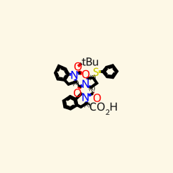 CC(C)(C)OC(=O)N1c2ccccc2C[C@@H]1C(=O)N1C[C@@H](Sc2ccccc2)C[C@@H]1C(=O)N1Cc2ccccc2C[C@@H]1C(=O)O